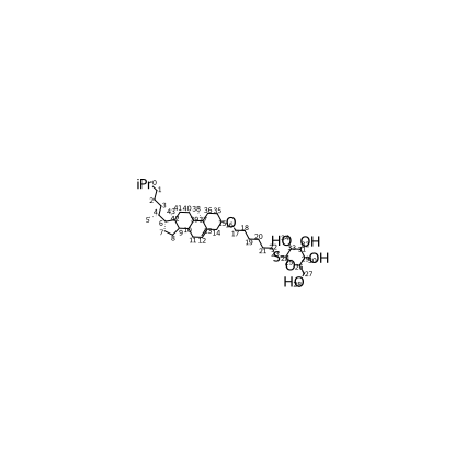 CC(C)CCC[C@@H](C)[C@H]1CCC2C3CC=C4C[C@@H](OCCCCCCS[C@@H]5O[C@H](CO)[C@H](O)[C@H](O)[C@H]5O)CC[C@]4(C)C3CC[C@@]21C